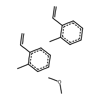 C=Cc1ccccc1C.C=Cc1ccccc1C.COC